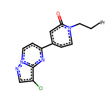 CC(C)CCn1ccc(-c2ccn3ncc(Cl)c3n2)cc1=O